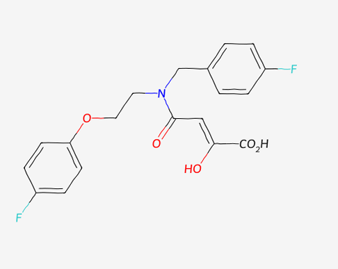 O=C(O)C(O)=CC(=O)N(CCOc1ccc(F)cc1)Cc1ccc(F)cc1